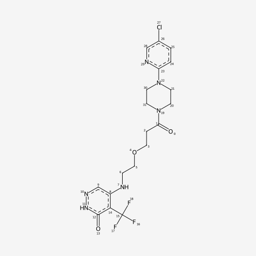 O=C(CCOCCNc1cn[nH]c(=O)c1C(F)(F)F)N1CCN(c2ccc(Cl)cn2)CC1